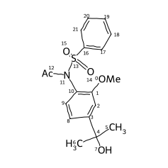 COc1cc(C(C)(C)O)ccc1N(C(C)=O)S(=O)(=O)c1ccccc1